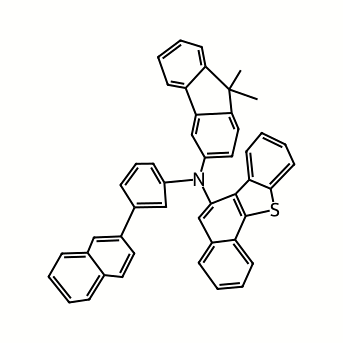 CC1(C)c2ccccc2-c2cc(N(c3cccc(-c4ccc5ccccc5c4)c3)c3cc4ccccc4c4sc5ccccc5c34)ccc21